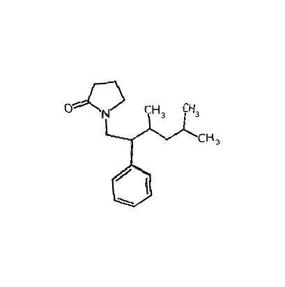 CC(C)CC(C)C(CN1CCCC1=O)c1ccccc1